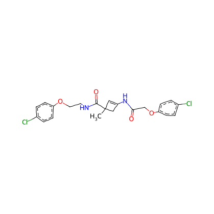 CC1(C(=O)NCCOc2ccc(Cl)cc2)C=C(NC(=O)COc2ccc(Cl)cc2)C1